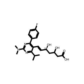 CC(C)c1nc(N(C)C)nc(-c2ccc(F)cc2)c1C=C[C@@H](O)CC(O)CC(=O)O